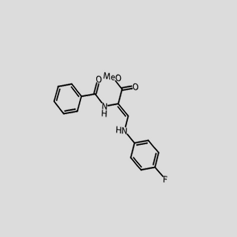 COC(=O)C(=CNc1ccc(F)cc1)NC(=O)c1ccccc1